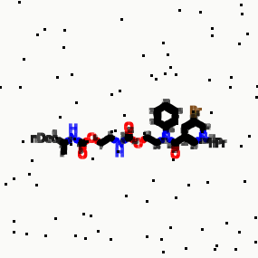 CCCCCCCCCCC(C)NC(=O)OCCNC(=O)OCCN(C(=O)C1=CN(CCC)CC(Br)=C1)c1ccccc1